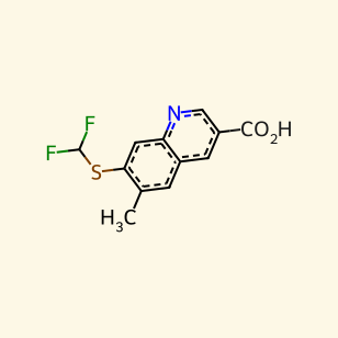 Cc1cc2cc(C(=O)O)cnc2cc1SC(F)F